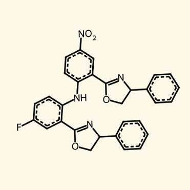 O=[N+]([O-])c1ccc(Nc2ccc(F)cc2C2=NC(c3ccccc3)CO2)c(C2=NC(c3ccccc3)CO2)c1